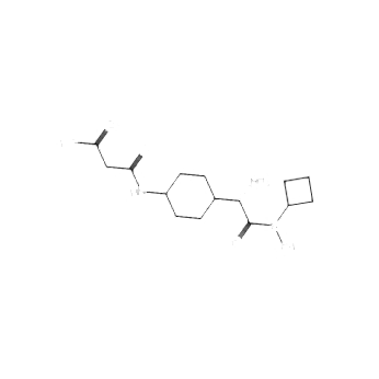 CN(C(=O)[C@@H](N)C1CCC(NC(=O)CC(=O)O)CC1)C1CCC1